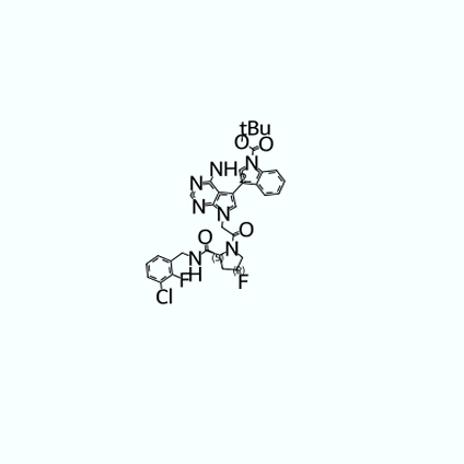 CC(C)(C)OC(=O)n1cc(-c2cn(CC(=O)N3C[C@H](F)C[C@H]3C(=O)NCc3cccc(Cl)c3F)c3ncnc(N)c23)c2ccccc21